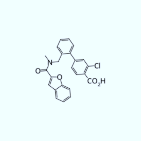 CN(Cc1ccccc1-c1ccc(C(=O)O)c(Cl)c1)C(=O)c1cc2ccccc2o1